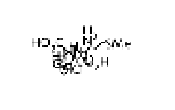 CSCC[C@H](N)C(=O)N[C@@]1(C(=O)O)CS(=O)(=O)[C@H]2[C@H](C(=O)O)[C@H]21.Cl